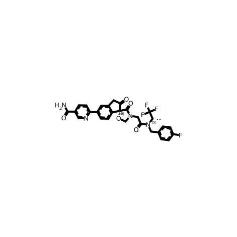 C[C@H](N(Cc1ccc(F)cc1)C(=O)CN1CO[C@]2(C(=O)Cc3cc(-c4ccc(C(N)=O)cn4)ccc32)C1=O)C(F)(F)F